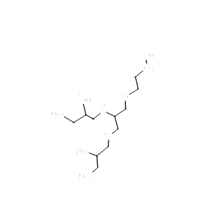 COCCOCC(CSCC(O)CO)SCC(O)CO